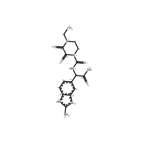 CCN1CCN(C(=O)NC(C(=O)O)c2ccc3[nH]c(N)nc3c2)C(=O)C1=O